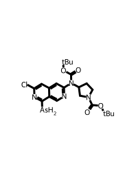 CC(C)(C)OC(=O)N1CCC(N(C(=O)OC(C)(C)C)c2cc3cc(Cl)nc([AsH2])c3cn2)C1